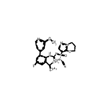 COc1cc(-c2cc(F)cc(C(C)C)c2NC(=O)N=[S@@](=O)(NC#N)c2cnn3c2OCCC3)ccn1